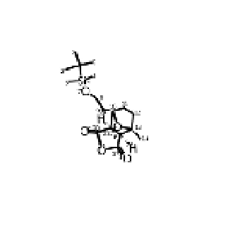 CC(C)(C)[Si](C)(C)OCC[C@@]12CC[C@@](C)(O1)[C@H]1C(=O)OC(=O)[C@H]12